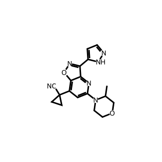 CC1COCCN1c1cc(C2(C#N)CC2)c2onc(-c3ccn[nH]3)c2n1